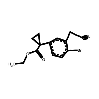 CCOC(=O)C1(c2ccc(Br)c(CC#N)c2)CC1